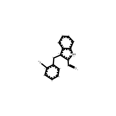 O=Cc1[nH]c2ccccc2c1Cc1ccccc1F